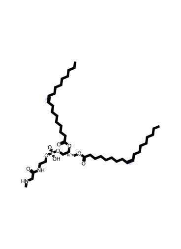 CCCCCCCC/C=C\CCCCCCCC(=O)OC[C@H](COP(=O)(O)OCCNC(=O)CNC)OC(=O)CCCCCCC/C=C\CCCCCCCC